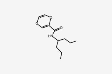 CCCC(CCC)NC(=O)C1=COC=CO1